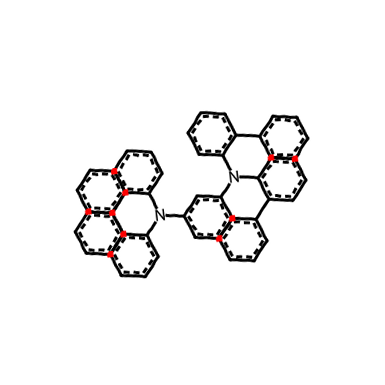 c1ccc(-c2ccccc2N(c2cccc(N(c3ccccc3-c3ccccc3)c3ccccc3-c3ccccc3)c2)c2ccccc2-c2ccccc2)cc1